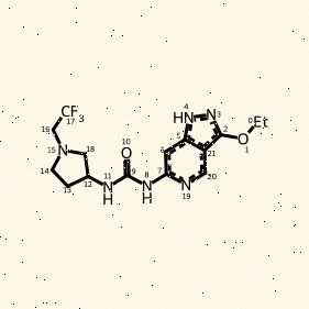 CCOc1n[nH]c2cc(NC(=O)NC3CCN(CC(F)(F)F)C3)ncc12